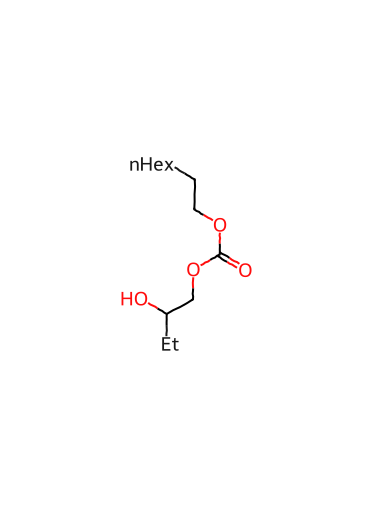 CCCCCCCCOC(=O)OCC(O)CC